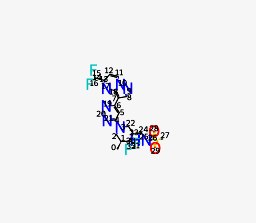 C[C@H]1CN(c2cc(-c3cnn4ccc(C(F)F)nc34)ncn2)C[C@@H](CNS(C)(=O)=O)C1(F)F